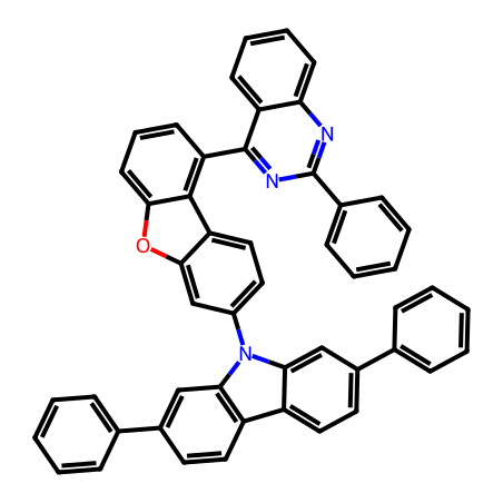 c1ccc(-c2ccc3c4ccc(-c5ccccc5)cc4n(-c4ccc5c(c4)oc4cccc(-c6nc(-c7ccccc7)nc7ccccc67)c45)c3c2)cc1